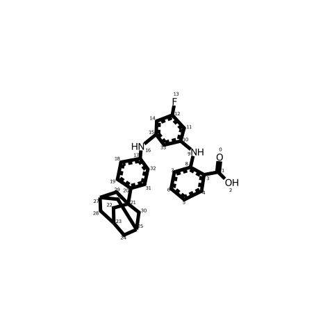 O=C(O)c1ccccc1Nc1cc(F)cc(Nc2ccc(C34CC5CC(CC(C5)C3)C4)cc2)c1